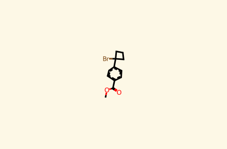 COC(=O)c1ccc(C2(Br)CCC2)cc1